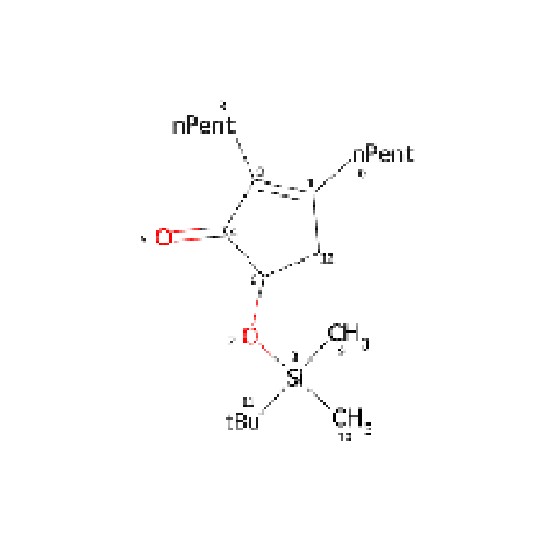 CCCCCC1=C(CCCCC)C(=O)C(O[Si](C)(C)C(C)(C)C)C1